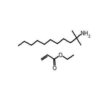 C=CC(=O)OCC.CCCCCCCCCC(C)(C)N